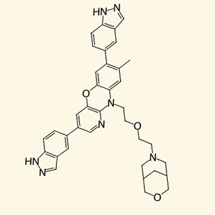 Cc1cc2c(cc1-c1ccc3[nH]ncc3c1)Oc1cc(-c3ccc4[nH]ncc4c3)cnc1N2CCOCCN1CC2COCC(C2)C1